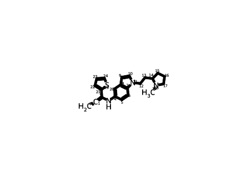 C=C=C(Nc1ccc2c(ccn2CCC2CCCN2C)c1)c1cccs1